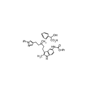 Cc1[nH]c2ccc(NC(=O)OC(C)C)cc2c1CCN(C)CCc1cnn(C(C)C)c1.O=C(O)C(O)c1ccccc1